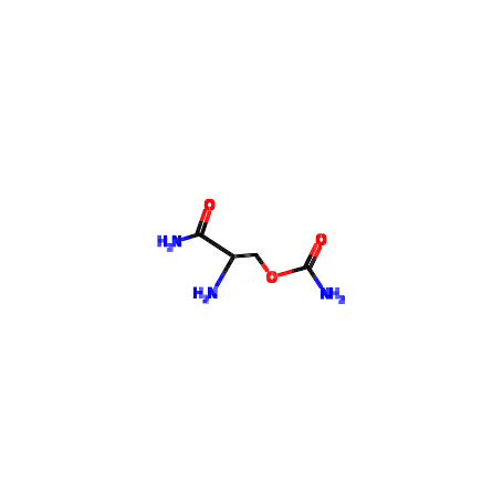 NC(=O)OCC(N)C(N)=O